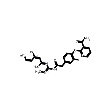 CCC\C=C/C(Br)=C\C(C)=N\C(=N/C)NC(=O)Cc1ccc(Oc2ncccc2C(N)=O)c(F)c1